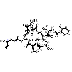 C=C/C(O)=C\C=C(/C)C[C@@H](C[C@H](C)C(=O)NN)NC(=O)c1csc([C@@H](C[C@H](C(C)C)N(COC(=O)CCC)C(=O)[C@@H](NC(=O)[C@H]2CCCCN2C)C(C)CC)OC(C)=O)n1